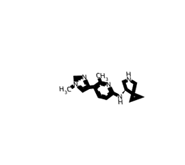 Cc1nc(N[C@@H]2CNCC23CC3)ccc1-c1cn(C)cn1